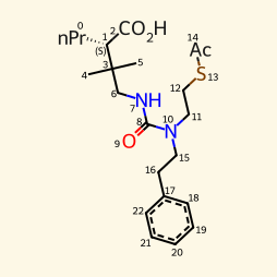 CCC[C@H](C(=O)O)C(C)(C)CNC(=O)N(CCSC(C)=O)CCc1ccccc1